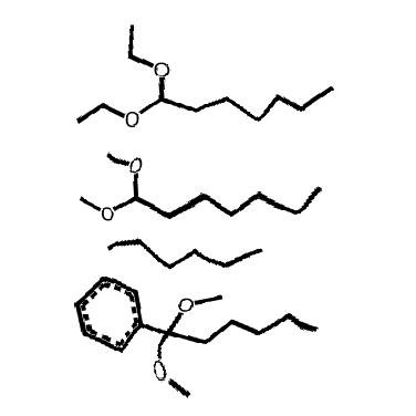 CCCCCC.CCCCCC(OC)(OC)c1ccccc1.CCCCCCC(OC)OC.CCCCCCC(OCC)OCC